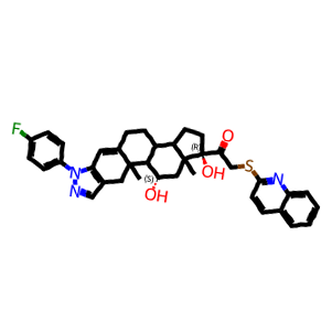 CC12Cc3cnn(-c4ccc(F)cc4)c3C=C1CCC1C2[C@@H](O)CC2(C)C1CC[C@]2(O)C(=O)CSc1ccc2ccccc2n1